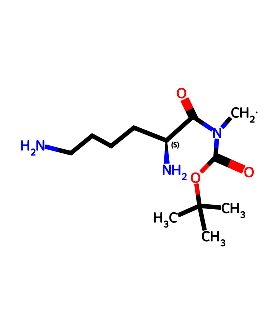 [CH2]N(C(=O)OC(C)(C)C)C(=O)[C@@H](N)CCCCN